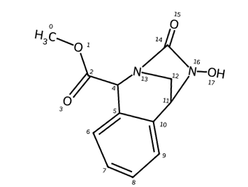 COC(=O)C1c2ccccc2C2CN1C(=O)N2O